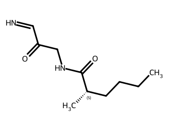 CCCC[C@H](C)C(=O)NCC(=O)C=N